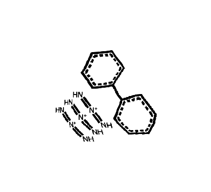 N=[N+]=N.N=[N+]=N.N=[N+]=N.c1ccc(-c2ccccc2)cc1